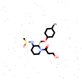 CC(C)C1CCC(OC[C@H]2C(N[S+](C)[O-])CCCN2C(=O)CCO)CC1